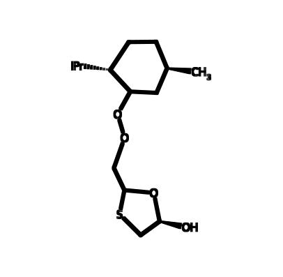 CC(C)[C@@H]1CC[C@@H](C)CC1OOCC1O[C@@H](O)CS1